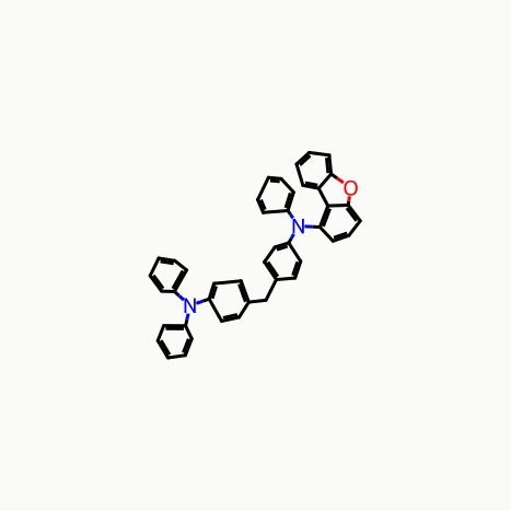 c1ccc(N(c2ccccc2)c2ccc(Cc3ccc(N(c4ccccc4)c4cccc5oc6ccccc6c45)cc3)cc2)cc1